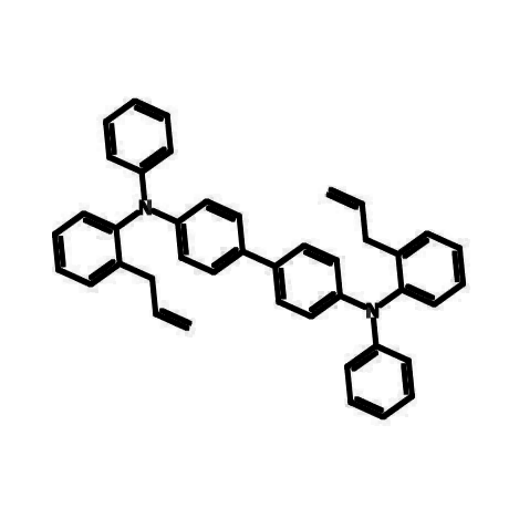 C=CCc1ccccc1N(c1ccccc1)c1ccc(-c2ccc(N(c3ccccc3)c3ccccc3CC=C)cc2)cc1